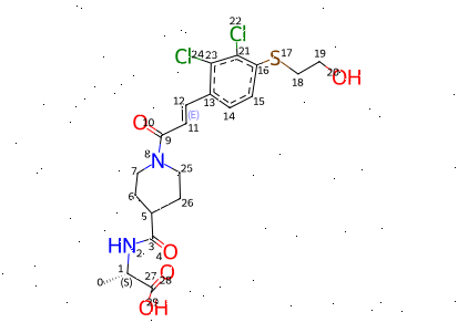 C[C@H](NC(=O)C1CCN(C(=O)/C=C/c2ccc(SCCO)c(Cl)c2Cl)CC1)C(=O)O